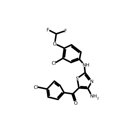 Nc1nc(Nc2ccc(OC(F)F)c(Cl)c2)sc1C(=O)c1ccc(Cl)cc1